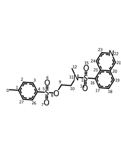 Cc1ccc(S(=O)(=O)OCCN(C)S(=O)(=O)c2cccc3cnccc23)cc1